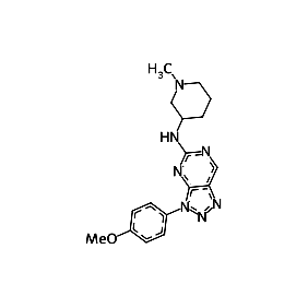 COc1ccc(-n2nnc3cnc(NC4CCCN(C)C4)nc32)cc1